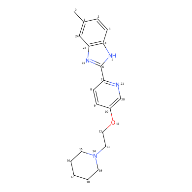 Cc1ccc2[nH]c(-c3ccc(OCCN4CCCCC4)cn3)nc2c1